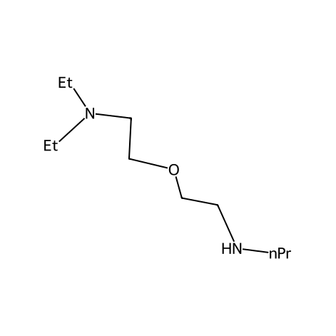 CCCNCCOCCN(CC)CC